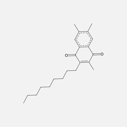 CCCCCCCCCC1=C(C)C(=O)c2cc(C)c(C)cc2C1=O